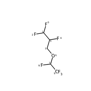 FC(F)C(F)COC(F)C(F)(F)F